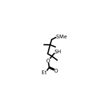 CCC(=O)OC(C)(S)CC(C)(C)CSC